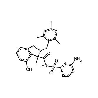 Cc1cc(C)c(CN2Cc3cccc(O)c3C2(C)C(=O)NS(=O)(=O)c2cccc(N)n2)c(C)c1